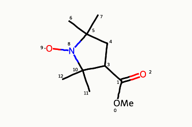 COC(=O)C1CC(C)(C)N([O])C1(C)C